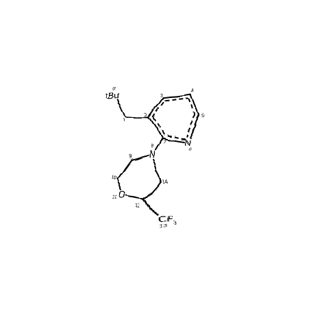 CC(C)(C)Cc1cccnc1N1CCOC(C(F)(F)F)C1